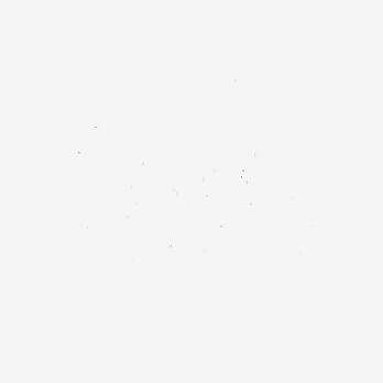 O=C(c1ccccc1)N(O)c1ccccc1.c1cc[c]([SnH]([c]2ccccc2)[c]2ccccc2)cc1